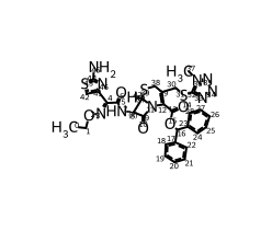 CCON=C(C(=O)N[C@@H]1C(=O)N2C(C(=O)OC(c3ccccc3)c3ccccc3)=C(CSc3nnnn3C)CS[C@@H]12)c1csc(N)n1